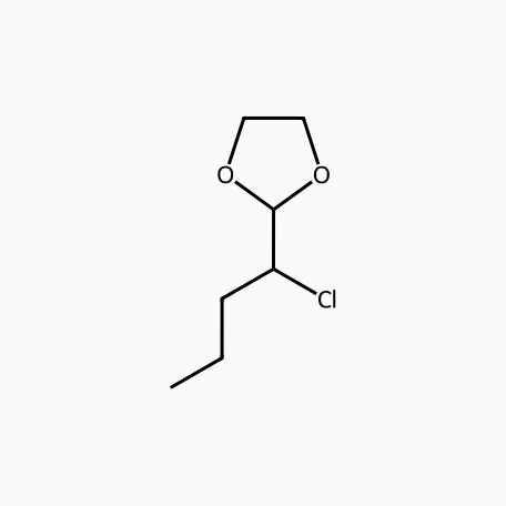 CCCC(Cl)C1OCCO1